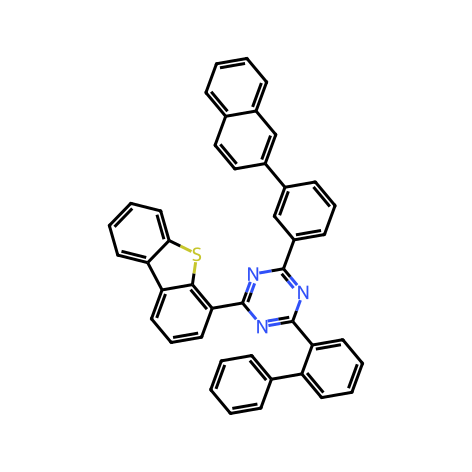 c1ccc(-c2ccccc2-c2nc(-c3cccc(-c4ccc5ccccc5c4)c3)nc(-c3cccc4c3sc3ccccc34)n2)cc1